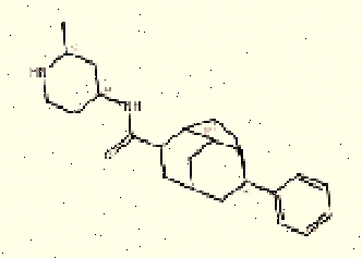 C[C@H]1C[C@@H](NC(=O)C2CC3C[C@]4(c5ccccc5)CCC2[C@](C)(C3)C4)CCN1